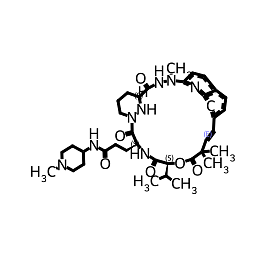 CC(C)[C@@H]1OC(=O)C(C)(C)/C=C/c2ccc3ccc(nc3c2)N(C)NC(=O)[C@@H]2CCCN(N2)C(=O)[C@H](CCC(=O)NC2CCN(C)CC2)NC1=O